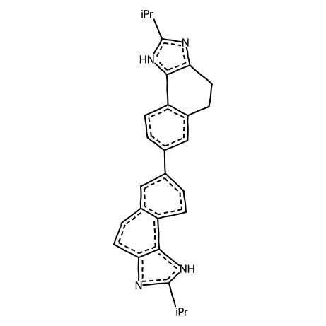 CC(C)c1nc2c([nH]1)-c1ccc(-c3ccc4c(ccc5nc(C(C)C)[nH]c54)c3)cc1CC2